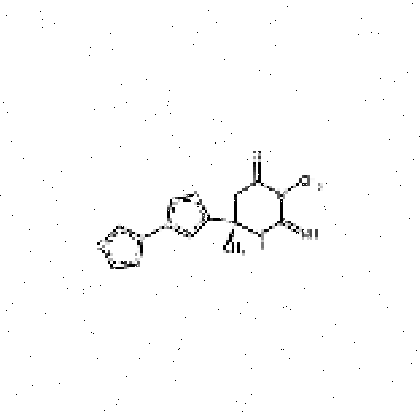 CN1C(=N)N[C@](C)(c2cc(-c3ccsc3)cs2)CC1=O